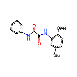 COc1ccc(C(C)(C)C)cc1NC(=O)C(=O)Nc1ccccc1